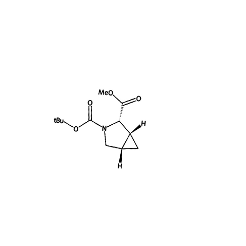 COC(=O)[C@@H]1[C@@H]2C[C@@H]2CN1C(=O)OC(C)(C)C